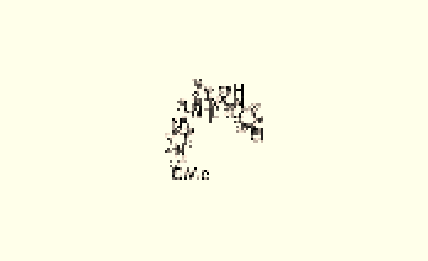 COCCN1CCc2nc(C(=O)N[C@@H]3CCC[C@H]3NC(=O)c3cc4cc(Cl)ccc4[nH]3)sc2C1